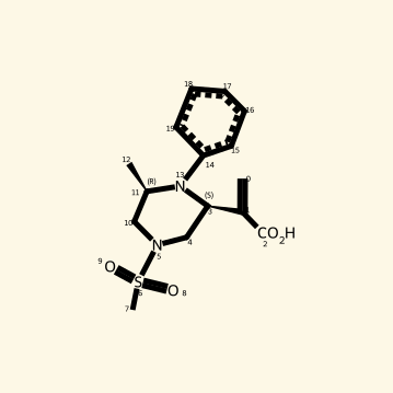 C=C(C(=O)O)[C@H]1CN(S(C)(=O)=O)C[C@@H](C)N1c1ccccc1